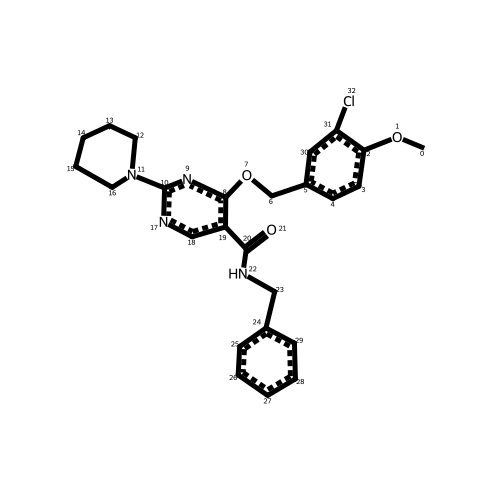 COc1ccc(COc2nc(N3C[CH]CCC3)ncc2C(=O)NCc2ccccc2)cc1Cl